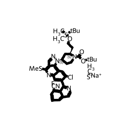 CSc1nc2c(F)c(-c3nccc4cccc(C#N)c34)c(Cl)cc2c2c1cnn2[C@H]1CCN(C(=O)OC(C)(C)C)[C@H](CCO[Si](C)(C)C(C)(C)C)C1.C[S-].[Na+]